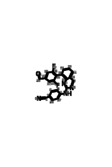 N#Cc1ccc(Nc2ncc3cccc(-c4c(F)cc(C=O)cc4F)c3n2)cc1